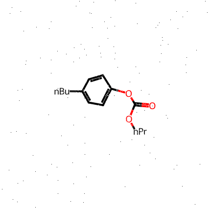 CCCCc1ccc(OC(=O)OCCC)cc1